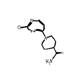 NC(=O)C1CCN(c2ccnc(Cl)n2)CC1